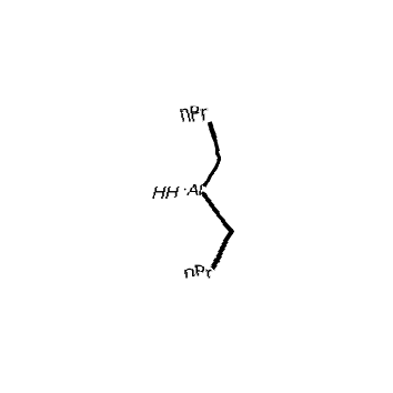 CCC[CH2][Al][CH2]CCC.[HH]